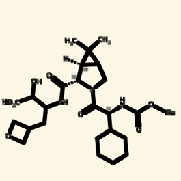 CC(C)(C)OC(=O)N[C@H](C(=O)N1CC2[C@@H]([C@H]1C(=O)NC(CC1COC1)C(O)C(=O)O)C2(C)C)C1CCCCC1